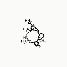 C=C1CCc2ccc(F)cc2C(=C)N2CCCCC2c2cc3nc(C4CNC4)cc(n3n2)N(C)CCN1